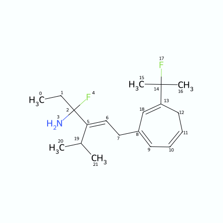 CCC(N)(F)/C(=C/CC1=CC=CCC(C(C)(C)F)=C1)C(C)C